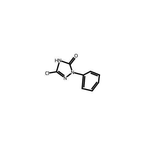 O=c1[nH]c(Cl)nn1-c1ccccc1